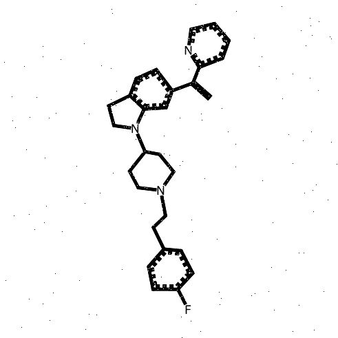 C=C(c1ccc2c(c1)N(C1CCN(CCc3ccc(F)cc3)CC1)CC2)c1ccccn1